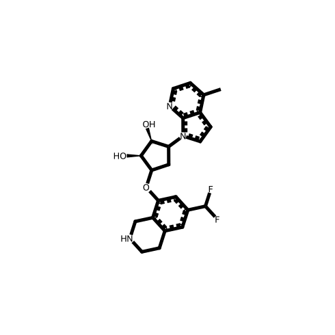 Cc1ccnc2c1ccn2C1CC(Oc2cc(C(F)F)cc3c2CNCC3)[C@@H](O)[C@H]1O